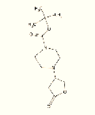 CC(C)(C)OC(=O)N1CCN(C2COC(=O)C2)CC1